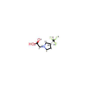 O=C(O)CN1CC[C@@H](C(F)(F)F)C1